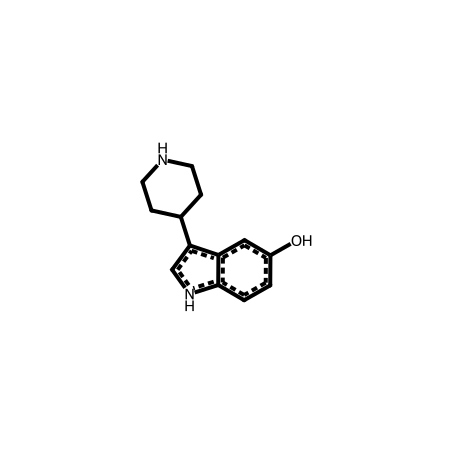 Oc1ccc2[nH]cc(C3CCNCC3)c2c1